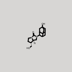 O=C1N(C2C3CC4CC2CC(O)(C4)C3)C[C@H]2[C@H](CO)CCN12